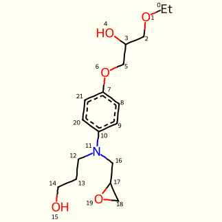 CCOCC(O)COc1ccc(N(CCCO)CC2CO2)cc1